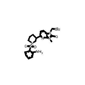 Cn1c(=O)n(CC(C)(C)C)c2ccc(C3CCCN(S(=O)(=O)c4ccccc4N)C3)nc21